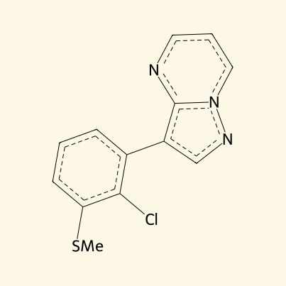 CSc1cccc(-c2cnn3cccnc23)c1Cl